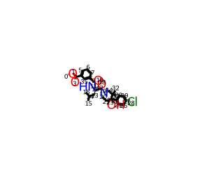 COC(=O)c1cccc(C(=O)N[C@H](CC(C)C)C(=O)N2CC[C@](O)(c3ccc(Cl)cc3)C(C)(C)C2)c1